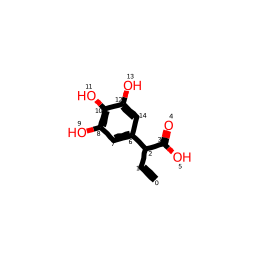 C=CC(C(=O)O)c1cc(O)c(O)c(O)c1